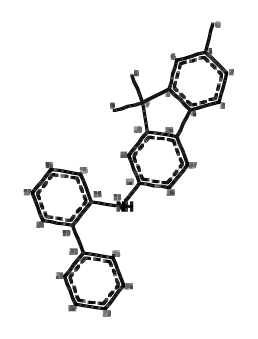 Cc1ccc2c(c1)C(C)(C)c1cc(Nc3ccccc3-c3ccccc3)ccc1-2